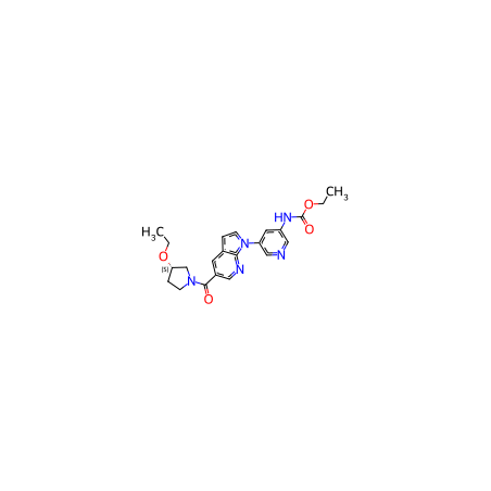 CCOC(=O)Nc1cncc(-n2ccc3cc(C(=O)N4CC[C@H](OCC)C4)cnc32)c1